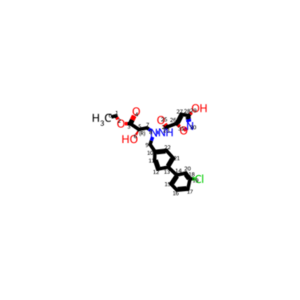 CCOC(=O)[C@H](O)CN(Cc1ccc(-c2cccc(Cl)c2)cc1)NC(=O)c1cc(O)no1